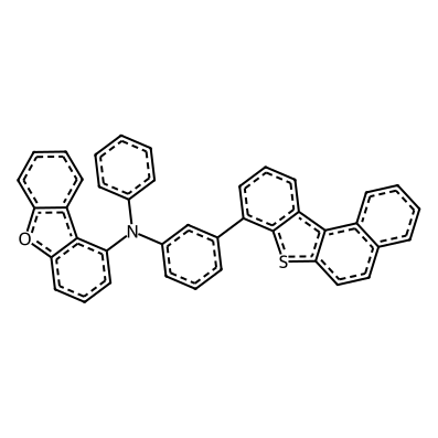 c1ccc(N(c2cccc(-c3cccc4c3sc3ccc5ccccc5c34)c2)c2cccc3oc4ccccc4c23)cc1